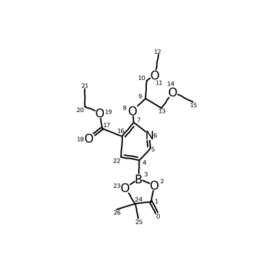 C=C1OB(c2cnc(OC(COC)COC)c(C(=O)OCC)c2)OC1(C)C